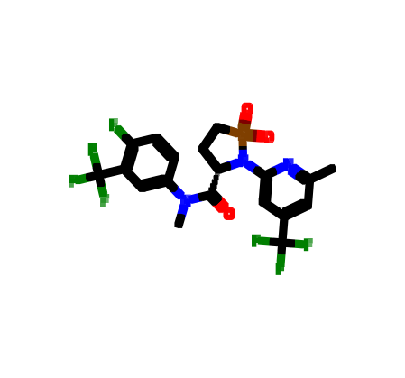 Cc1cc(C(F)(F)F)cc(N2[C@H](C(=O)N(C)c3ccc(F)c(C(F)(F)F)c3)CCS2(=O)=O)n1